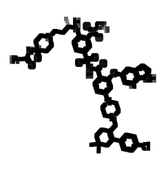 CC(C)C(=O)N=S1(=O)CCN(CC[C@H](C)Nc2ccc(S(=O)(=O)NC(=O)c3ccc(N4CCN(CC5=C(c6ccc(Cl)cc6)CC(C)(C)CC5)CC4)cc3Oc3cnc4[nH]ccc4c3)cc2S(=O)(=O)C(F)(F)F)CC1